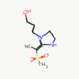 CS(=O)(=O)C(C#N)=C1NCCN1CCCO